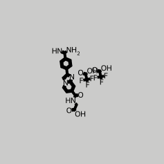 N=C(N)c1ccc(-c2cn3ccc(C(=O)NCC(=O)O)cc3n2)cc1.O=C(O)C(F)(F)F.O=C(O)C(F)(F)F